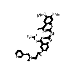 COc1cc2nc(Nc3nc(OC(=O)C(F)(F)F)c4cc(OCCN(C)Cc5cccnc5)ccc4n3)nc(C)c2cc1OC